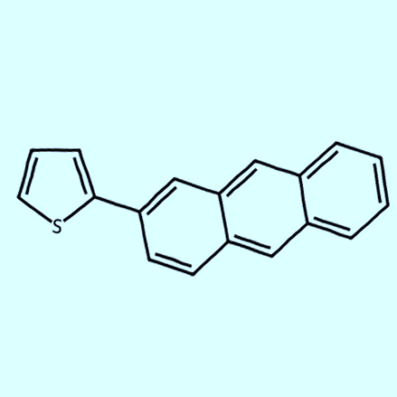 c1csc(-c2ccc3cc4ccccc4cc3c2)c1